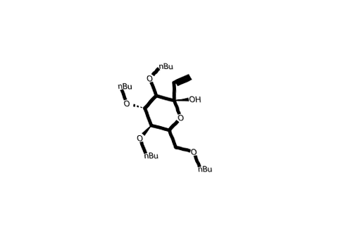 C=C[C@]1(O)OC(COCCCC)[C@@H](OCCCC)[C@H](OCCCC)C1OCCCC